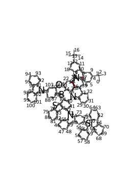 CC(C)(C)c1ccc2c(c1)c1cc(C(C)(C)C)ccc1n2-c1cc2c3c(c1)N(c1ccccc1-c1ccccc1)c1cc(-n4c5ccccc5c5cc([Si](c6ccccc6)(c6ccccc6)c6ccccc6)ccc54)c4c(sc5ccccc54)c1B3c1ccc(-n3c4ccccc4c4ccccc43)cc1O2